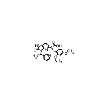 COc1ccc(CN(C(=O)O)c2ccc3[nH]c(=O)n(C(C)c4cccnc4)c3n2)c(OC)c1